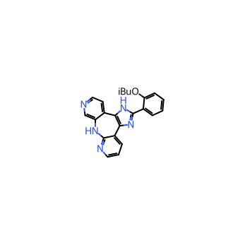 CC(C)COc1ccccc1-c1nc2c([nH]1)-c1ccncc1Nc1ncccc1-2